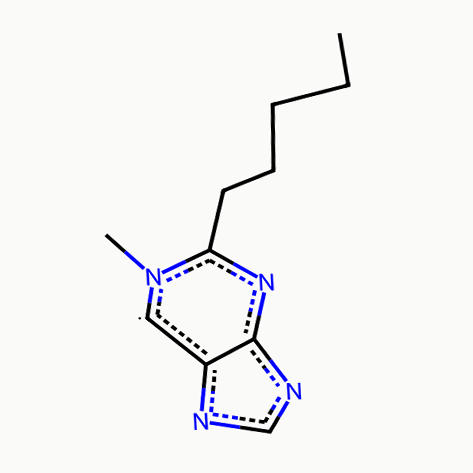 CCCCCc1nc2ncnc-2[c]n1C